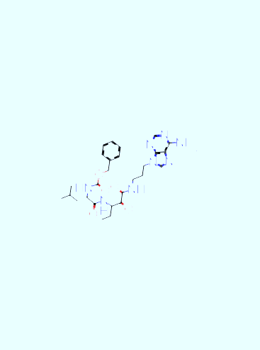 CCC(NC(=O)[C@H](CC(C)C)NC(=O)OCc1ccccc1)C(=O)C(=O)NCCCn1cnc2c(N)ncnc21